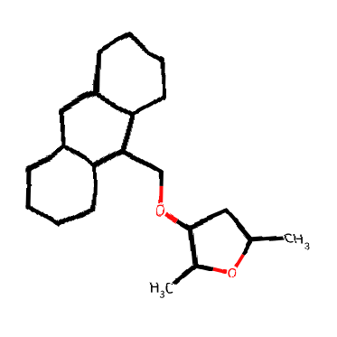 CC1CC(OCC2C3CCCCC3CC3CCCCC32)C(C)O1